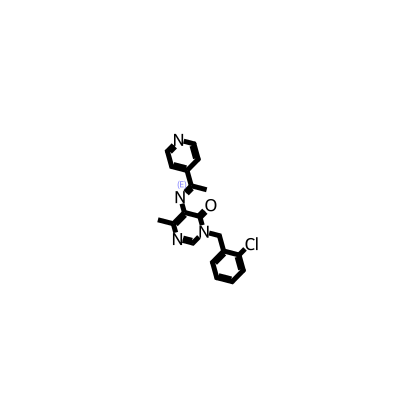 C/C(=N\c1c(C)ncn(Cc2ccccc2Cl)c1=O)c1ccncc1